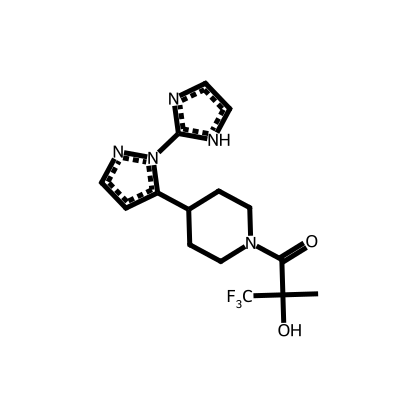 CC(O)(C(=O)N1CCC(c2ccnn2-c2ncc[nH]2)CC1)C(F)(F)F